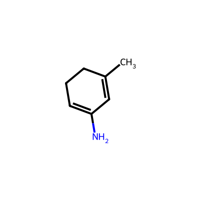 CC1=CC(N)=CCC1